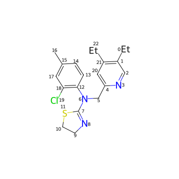 CCc1cnc(CN(C2=NCCS2)c2ccc(C)cc2Cl)cc1CC